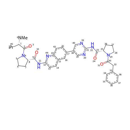 CN[C@H](C(=O)N1CCC[C@H]1C(=O)Nc1ccc2cc(-c3cnc(NC(=O)[C@@H]4CCCN4C(=O)Cc4ccccc4)nc3)ccc2n1)C(C)C